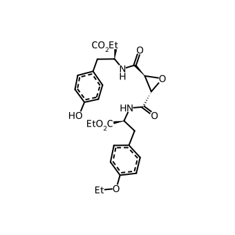 CCOC(=O)[C@H](Cc1ccc(O)cc1)NC(=O)[C@H]1O[C@@H]1C(=O)N[C@@H](Cc1ccc(OCC)cc1)C(=O)OCC